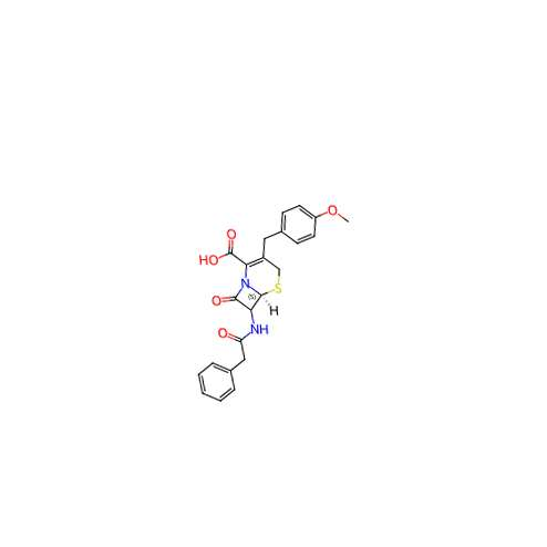 COc1ccc(CC2=C(C(=O)O)N3C(=O)C(NC(=O)Cc4ccccc4)[C@@H]3SC2)cc1